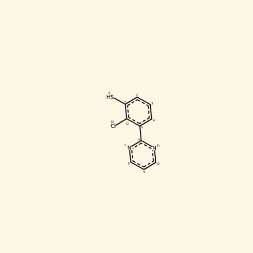 Sc1cccc(-c2ncccn2)c1Cl